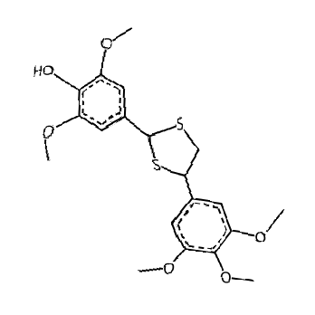 COc1cc(C2SCC(c3cc(OC)c(OC)c(OC)c3)S2)cc(OC)c1O